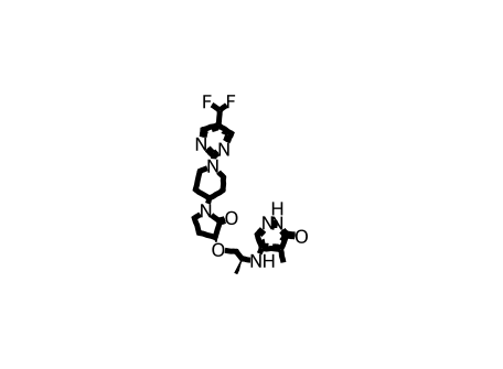 Cc1c(N[C@@H](C)CO[C@@H]2CCN(C3CCN(c4ncc(C(F)F)cn4)CC3)C2=O)cn[nH]c1=O